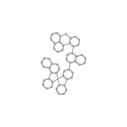 c1ccc2c(c1)-c1ccc(-c3ccc(-c4cccc5c4-c4cccc6cccc(c46)O5)c4ccccc34)cc1C21c2ccccc2-c2c1ccc1ccccc21